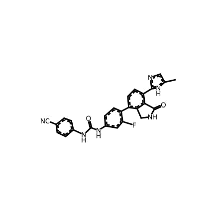 Cc1cnc(-c2ccc(-c3ccc(NC(=O)Nc4ccc(C#N)cc4)cc3F)c3c2C(=O)NC3)[nH]1